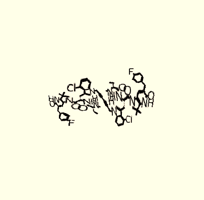 CC[C@H](NC)C(=O)N[C@@H](Cc1cn(CC#CC#CCn2cc(C[C@H](NC(=O)[C@H](CC)NC)C(=O)N3CC(C)(C)c4[nH]c(=O)c(Cc5ccc(F)cc5)cc43)c3c(Cl)cccc32)c2cccc(Cl)c12)C(=O)N1CC(C)(C)c2[nH]c(=O)c(Cc3ccc(F)cc3)cc21